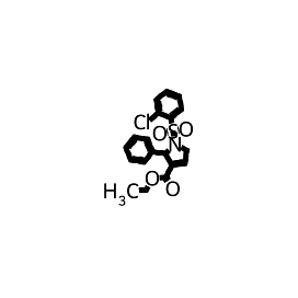 CCOC(=O)C1=CCN(S(=O)(=O)c2ccccc2Cl)C1c1ccccc1